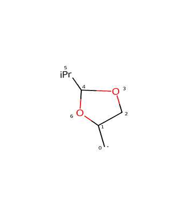 [CH2]C1COC(C(C)C)O1